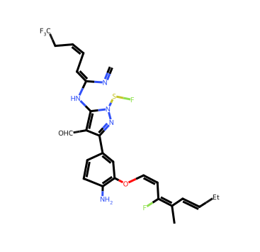 C=N/C(=C\C=C/CC(F)(F)F)Nc1c(C=O)c(-c2ccc(N)c(O\C=C/C(F)=C(C)\C=C\CC)c2)nn1SF